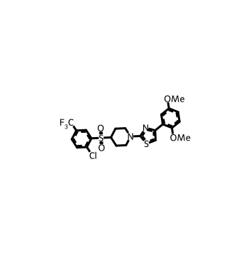 COc1ccc(OC)c(-c2csc(N3CCC(S(=O)(=O)c4cc(C(F)(F)F)ccc4Cl)CC3)n2)c1